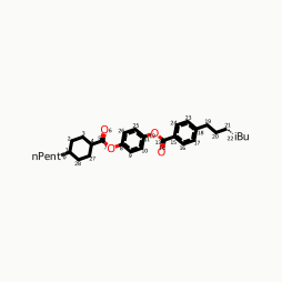 CCCCCC1CCC(C(=O)Oc2ccc(OC(=O)c3ccc(CCC[C@@H](C)CC)cc3)cc2)CC1